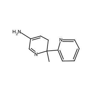 CC1(c2ccccn2)CC=C(N)C=N1